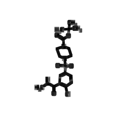 CNC(=O)c1cc(S(=O)(=O)N2CCN(C(=O)OC(C)(C)C)CC2)ccc1Cl